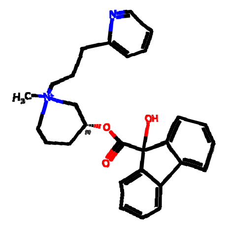 C[N+]1(CCCc2ccccn2)CCC[C@@H](OC(=O)C2(O)c3ccccc3-c3ccccc32)C1